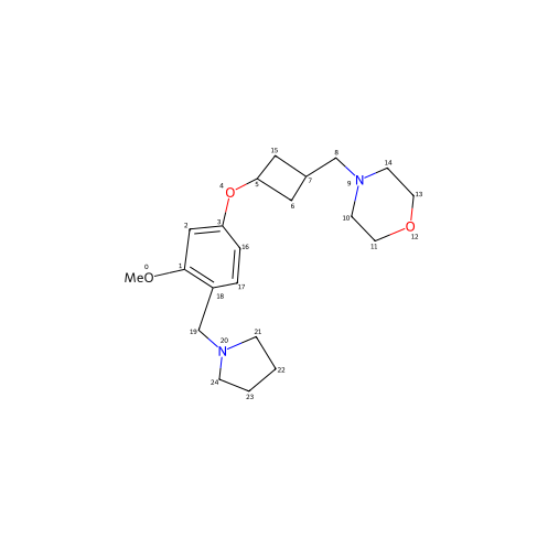 COc1cc(OC2CC(CN3CCOCC3)C2)ccc1CN1CCCC1